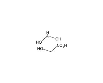 O=C(O)CO.[OH][AlH][OH]